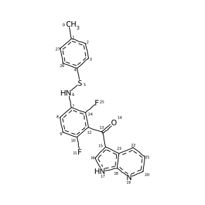 Cc1ccc(SNc2ccc(F)c(C(=O)c3c[nH]c4ncccc34)c2F)cc1